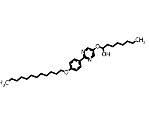 CCCCCCCCCCCCOc1ccc(-c2ncc(OC(O)CCCCCCC)cn2)cc1